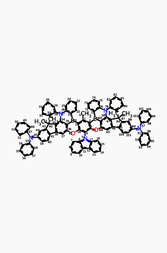 Cc1c2c(c(-n3c4ccccc4c4ccccc43)c3c1B1c4ccccc4N(c4ccccc4)c4c1c(cc1c4C(C)(C)c4cc(N(c5ccccc5)c5ccccc5)ccc4-1)O3)Oc1cc3c(c4c1B2c1ccccc1N4c1ccccc1)C(C)(C)c1cc(N(c2ccccc2)c2ccccc2)ccc1-3